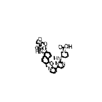 Cc1ccc2c(NS(=O)(=O)N3CCOC3=O)c(F)ccc2c1Oc1ncccc1-c1ccnc(N[C@H]2CCCN(C(=O)O)C2)n1